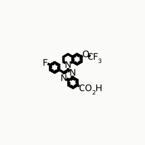 O=C(O)c1ccc2nc(-c3ccc(F)cc3)c(N3CCCc4cc(OC(F)(F)F)ccc43)nc2c1